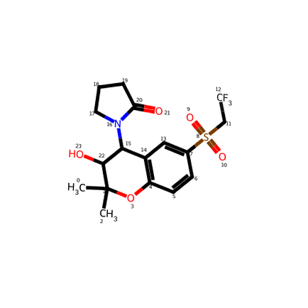 CC1(C)Oc2ccc(S(=O)(=O)CC(F)(F)F)cc2C(N2CCCC2=O)C1O